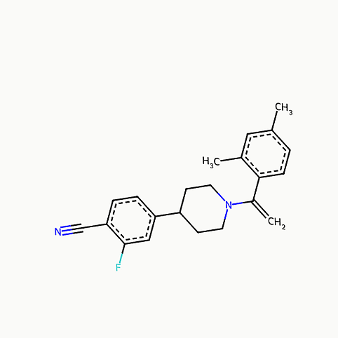 C=C(c1ccc(C)cc1C)N1CCC(c2ccc(C#N)c(F)c2)CC1